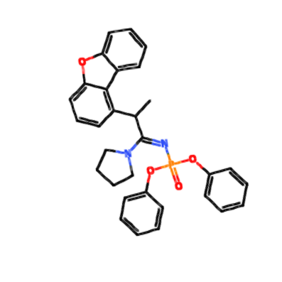 CC(/C(=N/P(=O)(Oc1ccccc1)Oc1ccccc1)N1CCCC1)c1cccc2oc3ccccc3c12